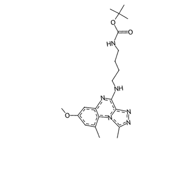 COc1cc(C)c2c(c1)nc(NCCCCNC(=O)OC(C)(C)C)c1nnc(C)n12